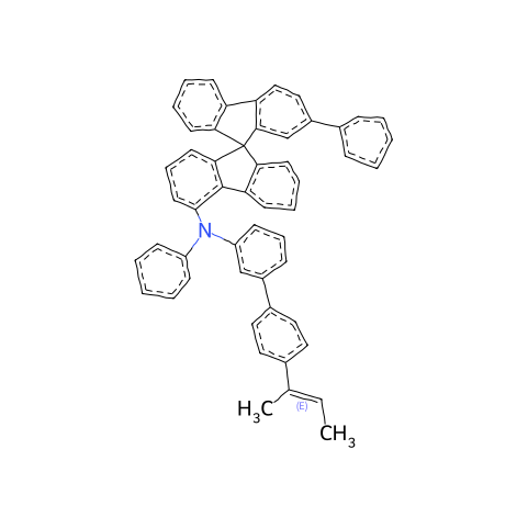 C/C=C(\C)c1ccc(-c2cccc(N(c3ccccc3)c3cccc4c3-c3ccccc3C43c4ccccc4-c4ccc(-c5ccccc5)cc43)c2)cc1